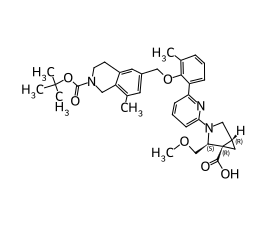 COC[C@H]1N(c2cccc(-c3cccc(C)c3OCc3cc(C)c4c(c3)CCN(C(=O)OC(C)(C)C)C4)n2)C[C@@H]2C[C@@]21C(=O)O